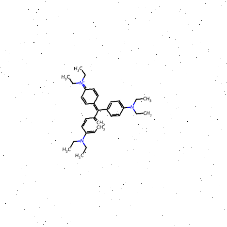 C=C(/C=C\C(=C/C)N(CC)CC)C(=C1C=CC(=[N+](CC)CC)C=C1)c1ccc(N(CC)CC)cc1